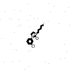 O=C1N(CCCCI)CCN1c1cccc(Cl)c1